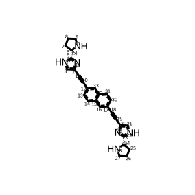 C(#Cc1c[nH]c([C@@H]2CCCN2)n1)c1ccc2cc(C#Cc3c[nH]c([C@@H]4CCCN4)n3)ccc2c1